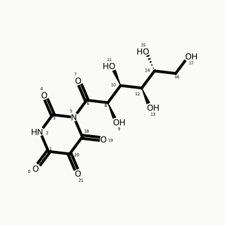 O=C1NC(=O)N(C(=O)[C@H](O)[C@@H](O)[C@H](O)[C@H](O)CO)C(=O)C1=O